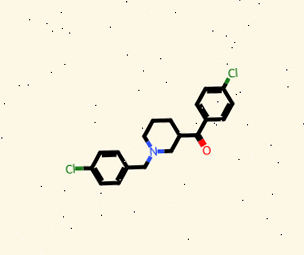 O=C(c1ccc(Cl)cc1)C1CCCN(Cc2ccc(Cl)cc2)C1